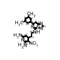 Cc1cc(C)cc(-c2cc3ncnn3c(NCCc3cc(N)nc(N)c3[N+](=O)[O-])n2)c1